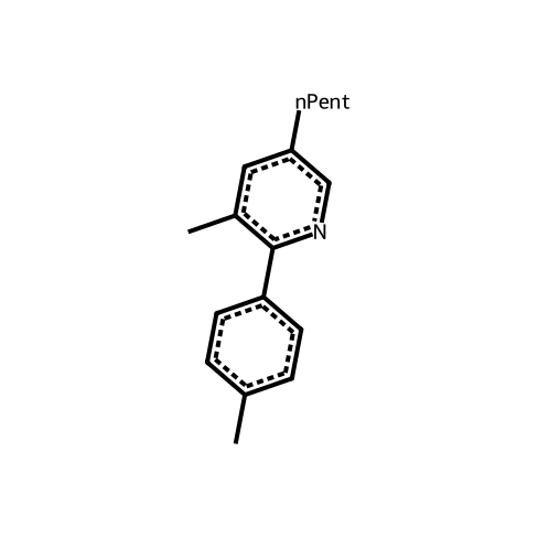 CCCCCc1cnc(-c2ccc(C)cc2)c(C)c1